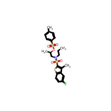 CCCN(CC(C)OS(=O)(=O)c1ccc(C)cc1)S(=O)(=O)c1sc2ccc(F)cc2c1C